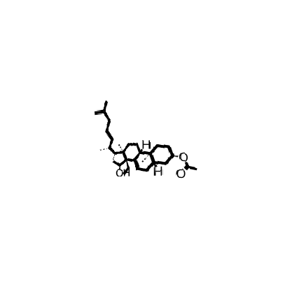 CC[C@]12C3=CC[C@H]4C[C@@H](OC(C)=O)CC[C@]4(C)[C@H]3CC[C@]1(C)[C@@H]([C@H](C)CCCC(C)C)C[C@H]2O